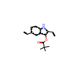 C=Cc1ccc2[nH]c(C=C)c(OC(=O)C(C)(C)C)c2c1